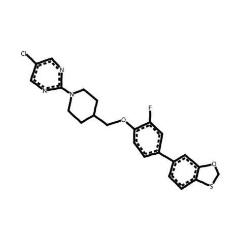 Fc1cc(-c2ccc3c(c2)OCS3)ccc1OCC1CCN(c2ncc(Cl)cn2)CC1